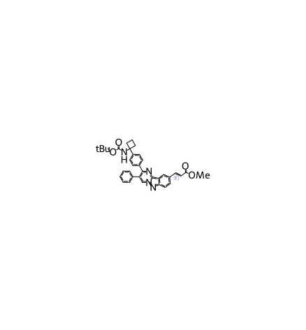 COC(=O)/C=C/c1ccc2nn3cc(-c4ccccc4)c(-c4ccc(C5(NC(=O)OC(C)(C)C)CCC5)cc4)nc3c2c1